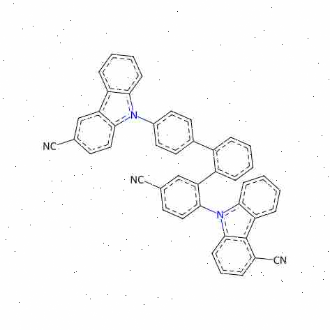 N#Cc1ccc(-n2c3ccccc3c3c(C#N)cccc32)c(-c2ccccc2-c2ccc(-n3c4ccccc4c4cc(C#N)ccc43)cc2)c1